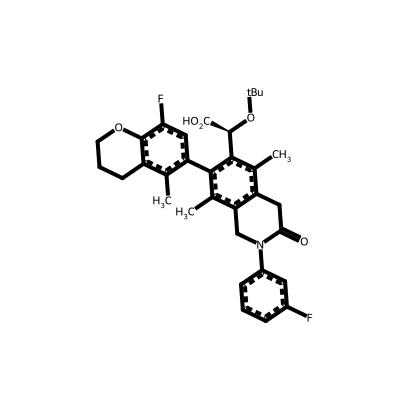 Cc1c(-c2c(C)c3c(c(C)c2[C@H](OC(C)(C)C)C(=O)O)CC(=O)N(c2cccc(F)c2)C3)cc(F)c2c1CCCO2